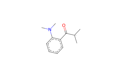 C[C](C)C(=O)c1ccccc1N(C)C